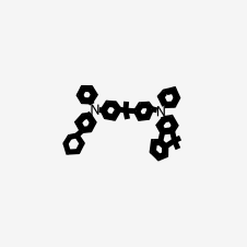 CC(C)(c1ccc(N(c2ccccc2)c2ccc(C3CCCCC3)cc2)cc1)c1ccc(N(c2ccccc2)c2ccc3c(c2)-c2ccccc2C3(C)C)cc1